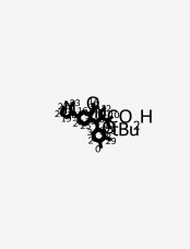 Cc1ccc(-c2c(C(OC(C)(C)C)C(=O)O)n(C)c(=O)c3cc(C4CC=CN4C)ccc23)cc1C